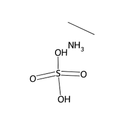 CC.N.O=S(=O)(O)O